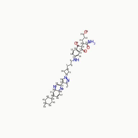 Cc1nn(C2CC(CCCNc3ccc4c(c3)C(=O)C(C(CCC=O)C(N)=O)C4=O)C2)cc1-c1cnc2cc(C3CCC(C)CC3)ccc2n1